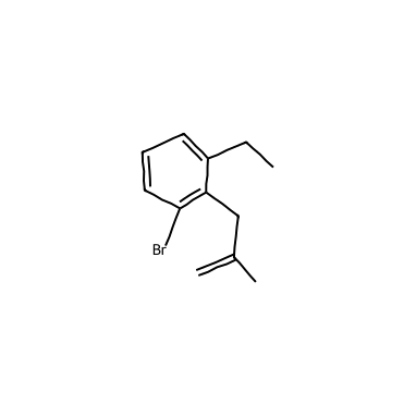 C=C(C)Cc1c(Br)cccc1CC